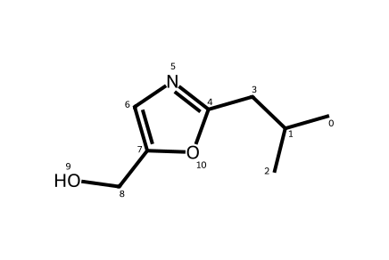 CC(C)Cc1ncc(CO)o1